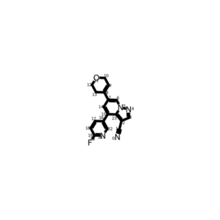 N#Cc1cnn2cc(C3=CCOCC3)cc(-c3ccc(F)nc3)c12